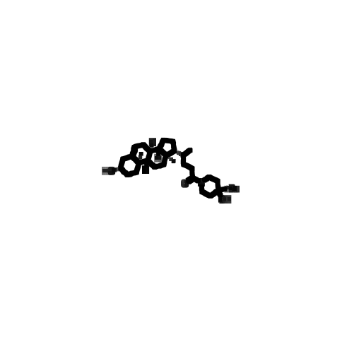 CCCCC1(O)CCN(C(=O)CCC(C)[C@H]2CC[C@H]3[C@@H]4CC=C5C[C@@H](O)CC[C@]5(C)[C@H]4CC[C@]23C)CC1